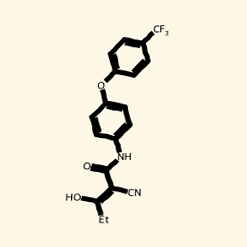 CC/C(O)=C(\C#N)C(=O)Nc1ccc(Oc2ccc(C(F)(F)F)cc2)cc1